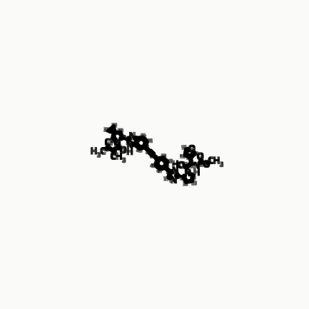 COC(=O)N[C@@H](C(=O)N1CCC[C@H]1c1ncc(-c2ccc(C#Cc3ccc4nc([C@@H]5CC6(CC6)CN5C(=O)[C@@H](C)C(C)C)[nH]c4c3)cc2)[nH]1)c1ccoc1